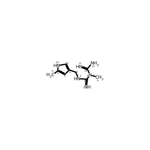 Cc1cc(CNC(=N)N(C)C(=N)N)c[nH]1